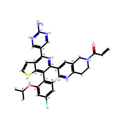 C=CC(=O)N1CCc2ncc(-c3nc(-c4cnc(N)nc4)c4ccsc4c3-c3c(F)cc(F)cc3OC(C)C)cc2C1